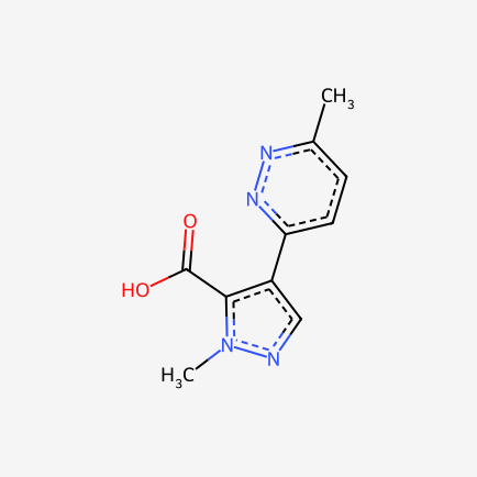 Cc1ccc(-c2cnn(C)c2C(=O)O)nn1